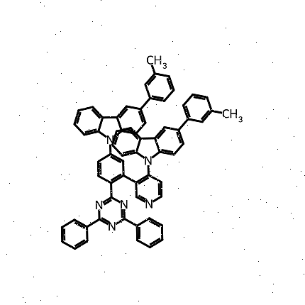 Cc1cccc(-c2ccc3c(c2)c2ccccc2n3-c2ccc(-c3nc(-c4ccccc4)nc(-c4ccccc4)n3)c(-c3cnccc3-n3c4ccccc4c4cc(-c5cccc(C)c5)ccc43)c2)c1